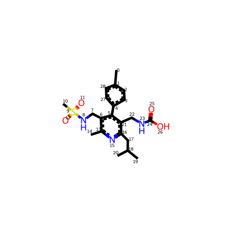 Cc1ccc(-c2c(CNS(C)(=O)=O)c(C)nc(CC(C)C)c2CNC(=O)O)cc1